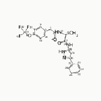 CC(NC(=O)Cc1ccc(OC(F)(F)F)cc1)C(=O)Nc1cc(-c2ccccc2)n[nH]1